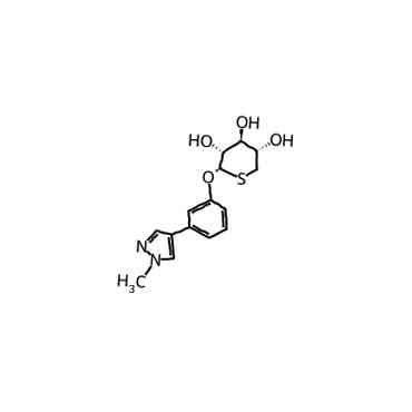 Cn1cc(-c2cccc(O[C@H]3SC[C@@H](O)[C@H](O)[C@H]3O)c2)cn1